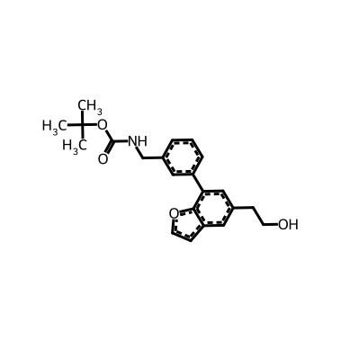 CC(C)(C)OC(=O)NCc1cccc(-c2cc(CCO)cc3ccoc23)c1